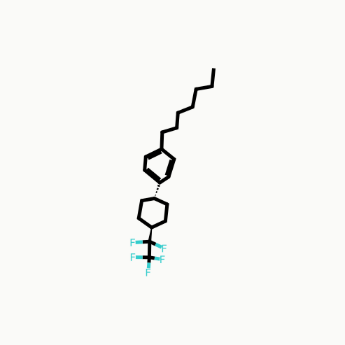 CCCCCCCc1ccc([C@H]2CC[C@H](C(F)(F)C(F)(F)F)CC2)cc1